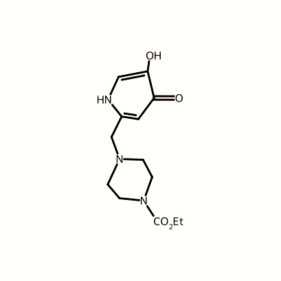 CCOC(=O)N1CCN(Cc2cc(=O)c(O)c[nH]2)CC1